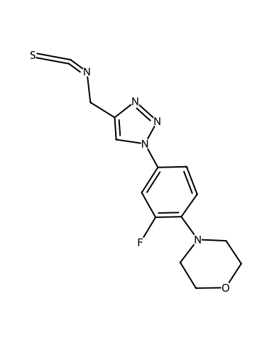 Fc1cc(-n2cc(CN=C=S)nn2)ccc1N1CCOCC1